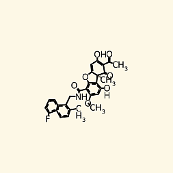 COc1cc(O)c2c(c1C(=O)NCc1c(C)ccc3c(F)cccc13)OC1=CC(O)=C(C(C)=O)C(=O)[C@]12C